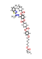 C=CC(=O)OCCCCCCOc1ccc(OC(=O)C2CCC(C(=O)Oc3ccc(OC(=O)C4CCC(C)CC4)c(/C=N/N(C)c4nc5ccccc5s4)c3)CC2)cc1